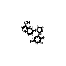 N#Cc1cnn2ccc(N3CCC[C@@H]3c3cc(F)ccc3F)nc12